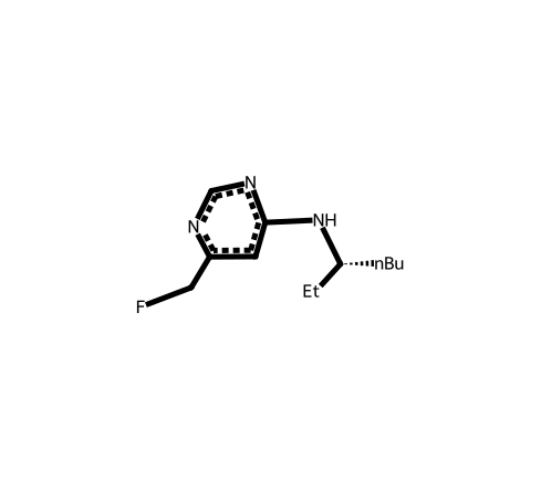 CCCC[C@H](CC)Nc1cc(CF)ncn1